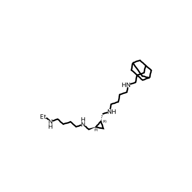 CCNCCCCNC[C@@H]1C[C@H]1CNCCCCNCC12CC3CC(CC(C3)C1)C2